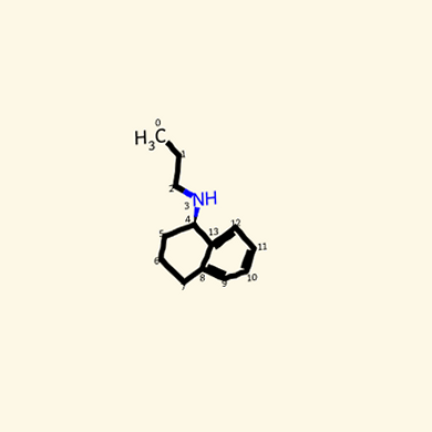 CCCN[C@@H]1CCCc2ccccc21